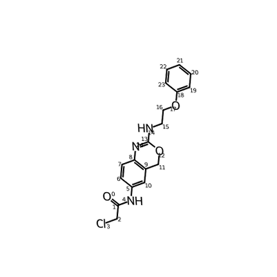 O=C(CCl)Nc1ccc2c(c1)COC(NCCOc1ccccc1)=N2